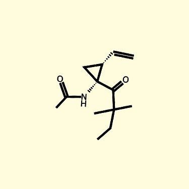 C=C[C@H]1C[C@]1(NC(C)=O)C(=O)C(C)(C)CC